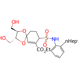 CCCCCCCc1ccccc1NS(=O)(=O)C1CCC2(C=C1C(=O)OCC)O[C@H](CO)[C@@H](CO)O2